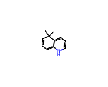 CC1(C)C=CC=C2NC=CC=C21